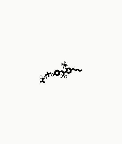 C=C(C)C(=O)OCC(C)(C)COc1ccc2cc(-c3ccc(CCCCC)cc3OC(F)(F)F)c(=O)oc2c1